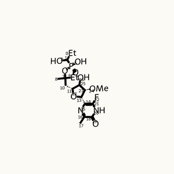 CCC(O)P(=O)(O)OC(C)(CC)C[C@H]1O[C@@H](c2nc(C)c(=O)[nH]c2F)[C@@H](OC)C1O